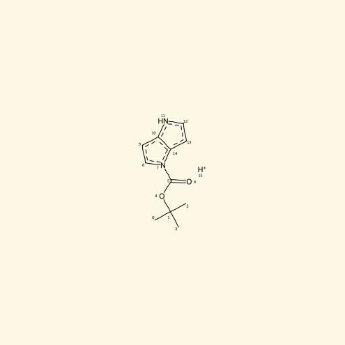 CC(C)(C)OC(=O)n1ccc2[nH]ccc21.[H+]